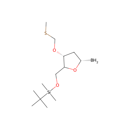 B[C@H]1C[C@@H](OCSC)C(CO[Si](C)(C)C(C)(C)C)O1